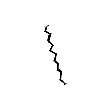 BrC/C=C/CCCCC/C=C/CBr